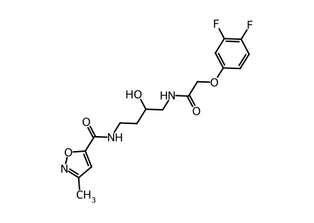 Cc1cc(C(=O)NCCC(O)CNC(=O)COc2ccc(F)c(F)c2)on1